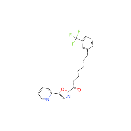 O=C(CCCCCCc1cccc(C(F)(F)F)c1)c1ncc(-c2ccccn2)o1